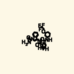 NC(=O)n1cc(NC(=O)N2[C@@H]3C[C@@H]3C[C@H]2C(=O)NC2CCCC(OCC(F)(F)F)C2)c2ccccc21